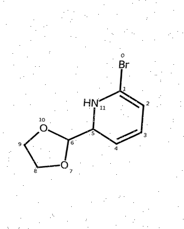 BrC1=CC=CC(C2OCCO2)N1